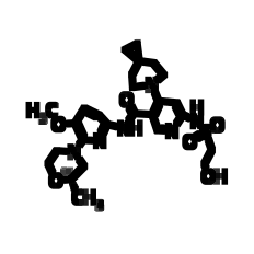 COc1ccc(NC(=O)c2cnc(NS(=O)(=O)CCO)cc2N2CCC3(CC2)CC3)nc1N1CCO[C@H](C)C1